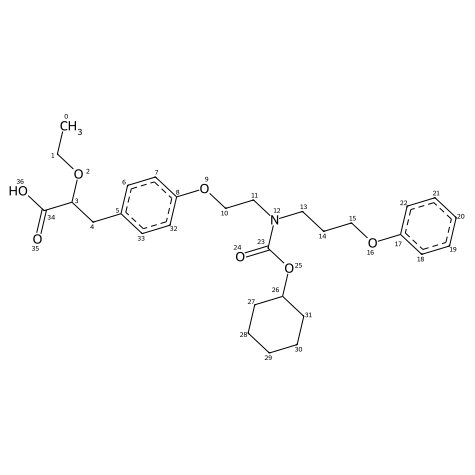 CCOC(Cc1ccc(OCCN(CCCOc2ccccc2)C(=O)OC2CCCCC2)cc1)C(=O)O